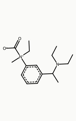 CCN(CC)C(C)c1cccc([N+](C)(CC)C(=O)[O-])c1